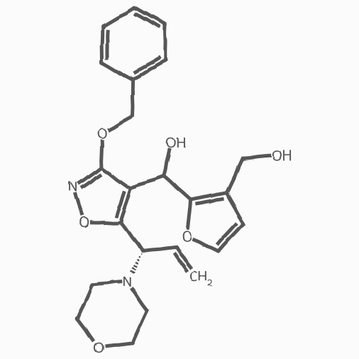 C=C[C@@H](c1onc(OCc2ccccc2)c1C(O)c1occc1CO)N1CCOCC1